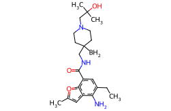 BC1(CNC(=O)c2cc(CC)c(N)c3cc(C)oc23)CCN(CC(C)(C)O)CC1